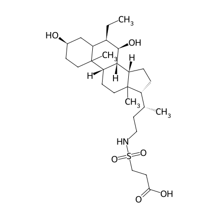 CC[C@@H]1C2C[C@H](O)CCC2(C)[C@H]2CCC3(C)[C@@H]([C@H](C)CCNS(=O)(=O)CCC(=O)O)CC[C@H]3[C@H]2[C@@H]1O